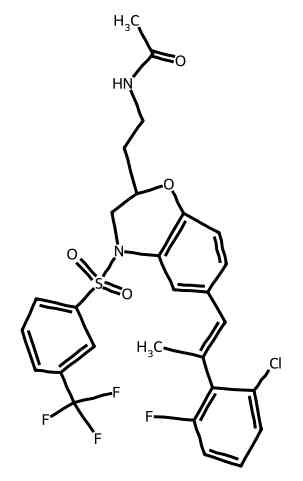 CC(=O)NCCC1CN(S(=O)(=O)c2cccc(C(F)(F)F)c2)c2cc(C=C(C)c3c(F)cccc3Cl)ccc2O1